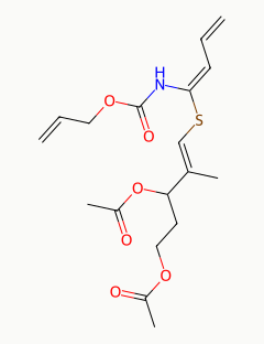 C=C/C=C(\NC(=O)OCC=C)S/C=C(\C)C(CCOC(C)=O)OC(C)=O